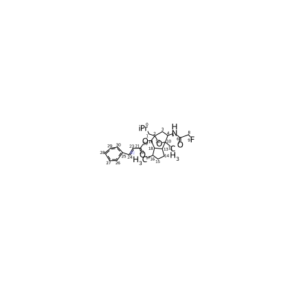 CC(C)CC12CC(NC(=O)CF)C(C)(O1)C1CCC(C)C1C2OC(=O)/C=C/c1ccccc1